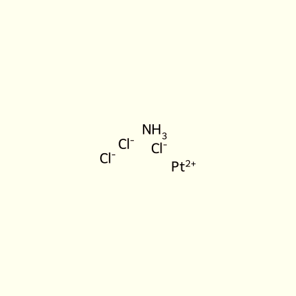 N.[Cl-].[Cl-].[Cl-].[Pt+2]